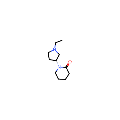 CCN1CC[C@@H](N2CCCCC2=O)C1